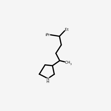 CCC(CCC(C)C1CCNC1)C(C)C